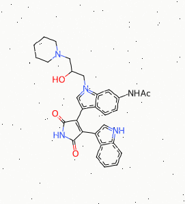 CC(=O)Nc1ccc2c(C3=C(c4c[nH]c5ccccc45)C(=O)NC3=O)cn(CC(O)CN3CCCCC3)c2c1